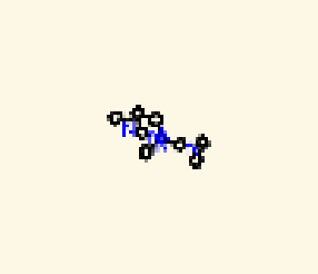 c1ccc(-c2nc(-c3ccc(-n4c5ccccc5c5ccccc54)cc3)nc(-c3cccc(-c4cccc5c(-c6ccccc6)nc6ccccc6c45)c3)n2)cc1